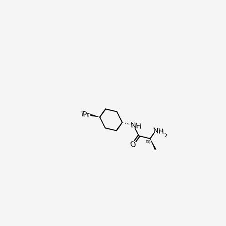 CC(C)[C@H]1CC[C@H](NC(=O)[C@H](C)N)CC1